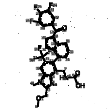 COCc1nc2c(CNC(=O)O)c(-c3cccn4c(C(=O)c5cc(F)c(F)c(F)c5)ccc34)c(C(F)(F)F)cc2n1C